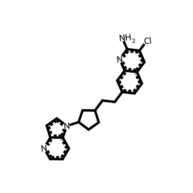 Nc1nc2cc(CCC3CCC(n4ccc5ncccc54)C3)ccc2cc1Cl